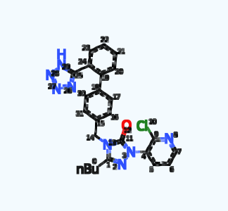 CCCCc1nn(-c2cccnc2Cl)c(=O)n1Cc1ccc(-c2ccccc2-c2nnn[nH]2)cc1